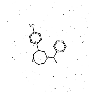 C[C@H](c1ccccc1)N1CCOCC(c2ccc(C#N)cc2)C1